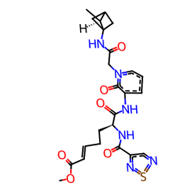 COC(=O)/C=C/CC[C@H](NC(=O)c1cnsn1)C(=O)Nc1cccn(CC(=O)NC23CC(C2)[C@@H]3C)c1=O